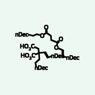 CCCCCCCCCCC=CC(CCCCCCCCCCCC)(CC(=O)O)C(=O)O.CCCCCCCCCCC=COC(=O)CCC(=O)OCCCCCCCCCCCC